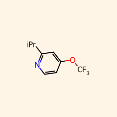 CC(C)c1cc(OC(F)(F)F)ccn1